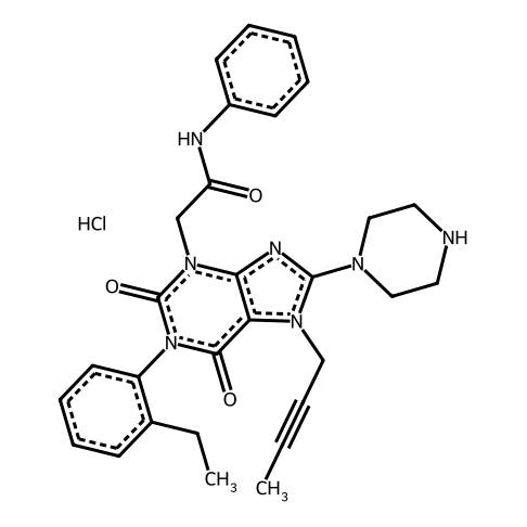 CC#CCn1c(N2CCNCC2)nc2c1c(=O)n(-c1ccccc1CC)c(=O)n2CC(=O)Nc1ccccc1.Cl